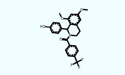 COc1cc2c(c(OC)c1)C(c1ccc(O)cc1)N(C(=O)c1ccc(C(F)(F)F)cc1)CC2